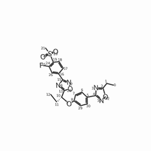 CCc1nc(-c2ccc(O[C@H](CC)c3nc(-c4ccc(S(C)(=O)=O)c(F)c4)no3)cc2)no1